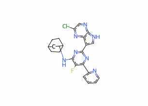 Fc1c(NC2CC3CCC2CC3)nc(-c2c[nH]c3ncc(Cl)nc23)nc1-c1ccccn1